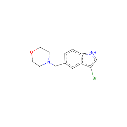 Brc1c[nH]c2ccc(CN3CCOCC3)cc12